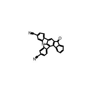 N#Cc1ccc2c3cc4c(c5c6ccc(C#N)cc6n(c2c1)c35)-c1ccccc1C4=O